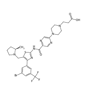 C[C@@H]1CCCN1Cc1sc(NC(=O)c2cnc(N3CCN(CCC(=O)O)CC3)cn2)nc1-c1cc(Br)cc(C(F)(F)F)c1